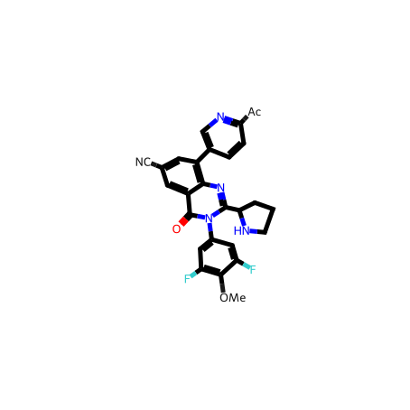 COc1c(F)cc(-n2c(C3CCCN3)nc3c(-c4ccc(C(C)=O)nc4)cc(C#N)cc3c2=O)cc1F